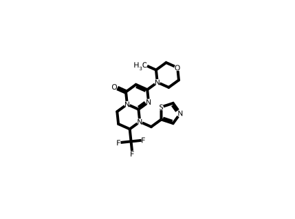 CC1COCCN1c1cc(=O)n2c(n1)N(Cc1cncs1)C(C(F)(F)F)CC2